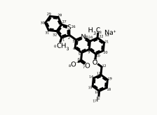 Cc1c(-c2cc(C(=O)[O-])c3c(OCc4ccc(F)cc4)ccc(C)c3n2)sc2ccccc12.[Na+]